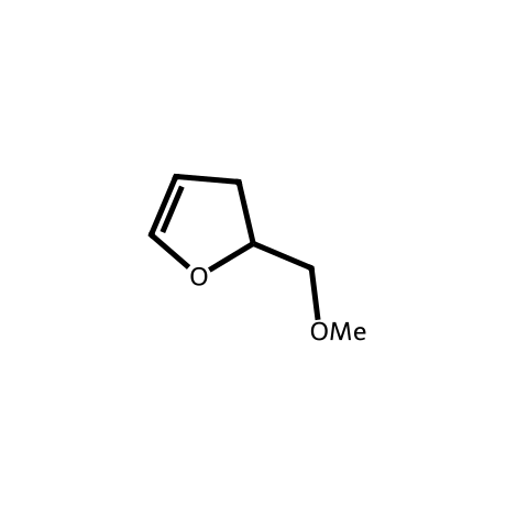 COCC1CC=CO1